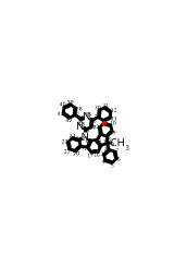 CC1(c2ccccc2)c2ccccc2-c2c1ccc1c3ccccc3n(-c3cc(-c4ccccc4)nc(-c4ccccc4)n3)c21